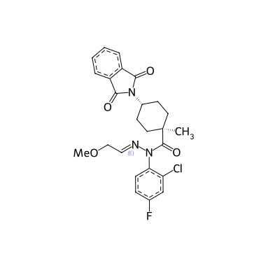 COC/C=N/N(c1ccc(F)cc1Cl)C(=O)[C@]1(C)CC[C@@H](N2C(=O)c3ccccc3C2=O)CC1